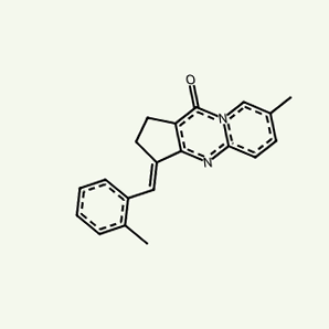 Cc1ccc2nc3c(c(=O)n2c1)CCC3=Cc1ccccc1C